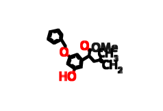 C=C(C)CC(C(=O)OC)c1cc(O)cc(OCc2ccccc2)c1